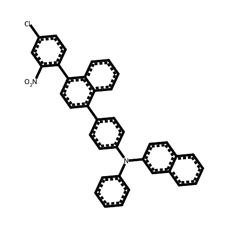 O=[N+]([O-])c1cc(Cl)ccc1-c1ccc(-c2ccc(N(c3ccccc3)c3ccc4ccccc4c3)cc2)c2ccccc12